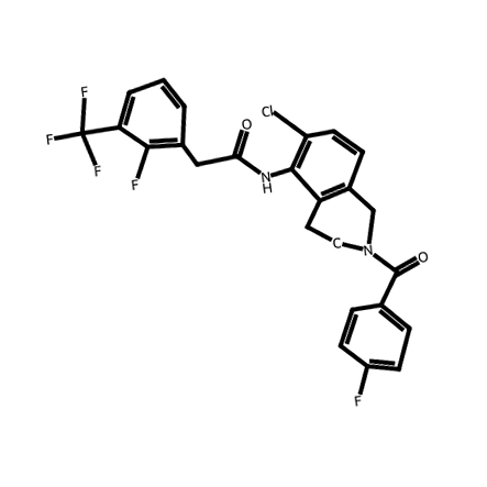 O=C(Cc1cccc(C(F)(F)F)c1F)Nc1c(Cl)ccc2c1CCN(C(=O)c1ccc(F)cc1)C2